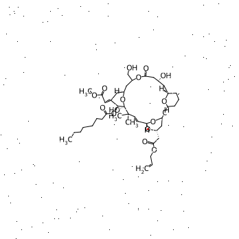 C=CCOC(=O)C[C@H]1CC2C[C@H]3CCC[C@@H](C[C@@H](O)CC(=O)OC(CO)C[C@@H]4C/C(=C\C(=O)OC)[C@H](OC(=O)CCCCCCC)[C@@](O)(O4)C(C)(C)/C=C/[C@H](O2)O1)O3